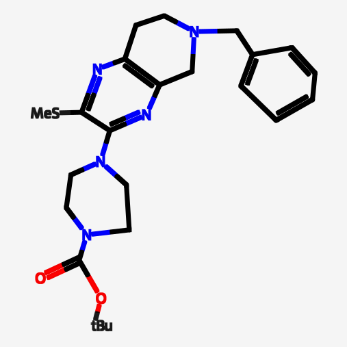 CSc1nc2c(nc1N1CCN(C(=O)OC(C)(C)C)CC1)CN(Cc1ccccc1)CC2